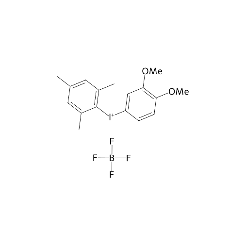 COc1ccc([I+]c2c(C)cc(C)cc2C)cc1OC.F[B-](F)(F)F